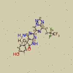 C[C@]1(c2ccc(O)cc2)C(=O)Nc2nc(-c3cn4ncnc4c(CCC(F)(F)C(F)(F)F)n3)nc(N)c21